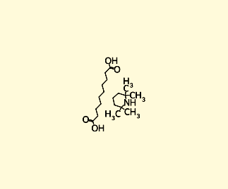 CC1(C)CCCC(C)(C)N1.O=C(O)CCCCCCCCC(=O)O